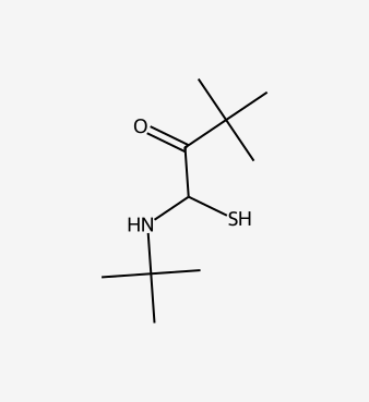 CC(C)(C)NC(S)C(=O)C(C)(C)C